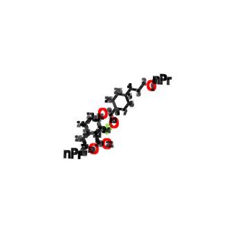 CCCOCCCC1CCC(C(=O)Oc2ccc3cc(CCC)oc(=O)c3c2F)CC1